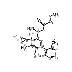 CCOC(=O)CC(N)C1C=C(c2ccccc2C)C(C)=C(C)C1(F)C1CC1.Cl